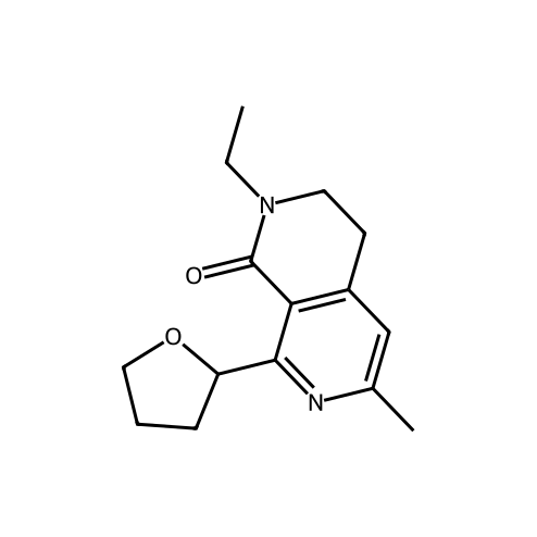 CCN1CCc2cc(C)nc(C3CCCO3)c2C1=O